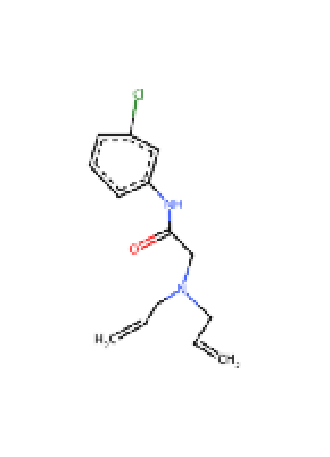 C=CCN(CC=C)CC(=O)Nc1cccc(Cl)c1